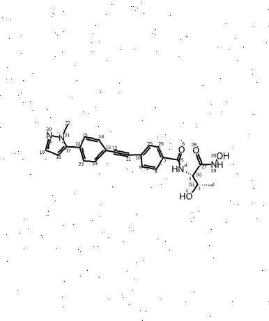 C[C@H](O)[C@H](NC(=O)c1ccc(C#Cc2ccc(-c3ccnn3C)cc2)cc1)C(=O)NO